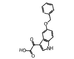 O=C(O)C(=O)c1c[nH]c2ccc(OCc3ccccc3)cc12